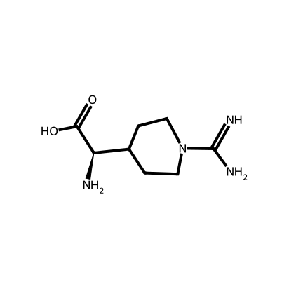 N=C(N)N1CCC([C@@H](N)C(=O)O)CC1